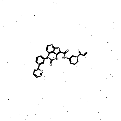 C=CC(=O)N1CCC=C(NC(=O)c2sc3nccc4c3c2NC(=O)N4c2cccc(-c3ccccn3)c2)C1